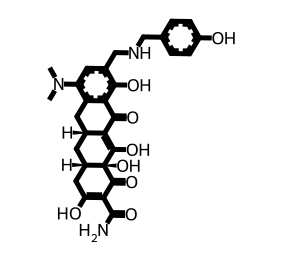 CN(C)c1cc(CNCc2ccc(O)cc2)c(O)c2c1C[C@H]1C[C@H]3CC(O)=C(C(N)=O)C(=O)[C@@]3(O)C(O)=C1C2=O